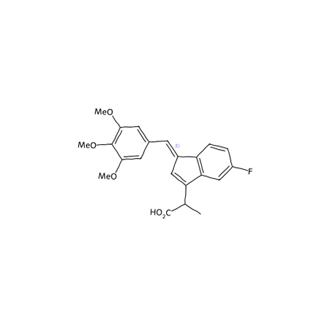 COc1cc(/C=C2\C=C(C(C)C(=O)O)c3cc(F)ccc32)cc(OC)c1OC